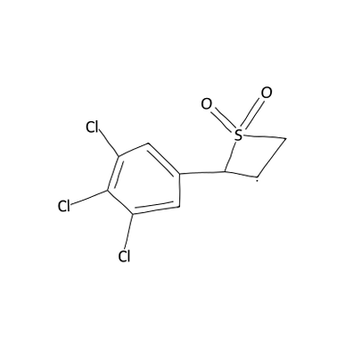 O=S1(=O)C[CH]C1c1cc(Cl)c(Cl)c(Cl)c1